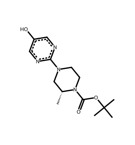 C[C@@H]1CN(c2ncc(O)cn2)CCN1C(=O)OC(C)(C)C